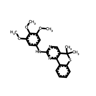 COc1cc(Nc2ncc3c(n2)-c2ccccc2SC3(C)C)cc(OC)c1OC